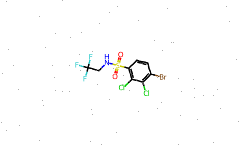 O=S(=O)(NCC(F)(F)F)c1ccc(Br)c(Cl)c1Cl